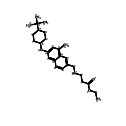 CCOC(=O)CCNCc1ccc2cc(OC3CCC(C(C)(C)C)CC3)cc(C)c2c1